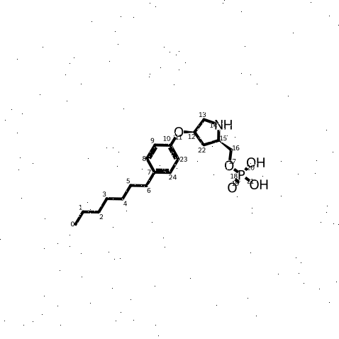 CCCCCCCc1ccc(O[C@H]2CN[C@@H](COP(=O)(O)O)C2)cc1